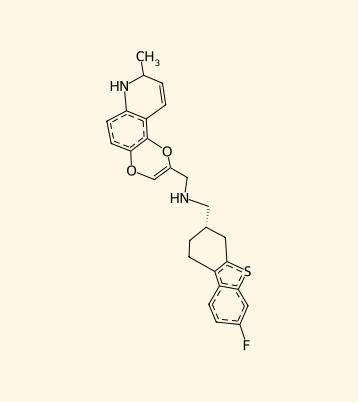 CC1C=Cc2c(ccc3c2OC(CNC[C@H]2CCc4c(sc5cc(F)ccc45)C2)=CO3)N1